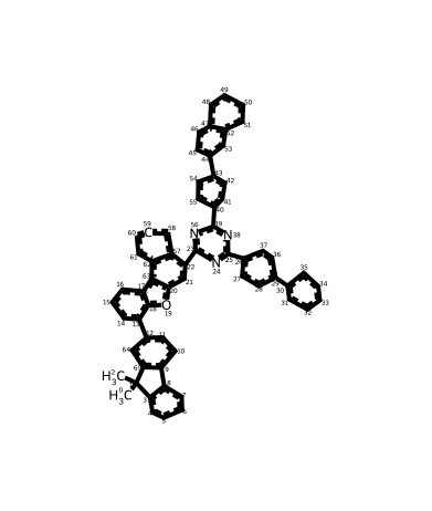 CC1(C)c2ccccc2-c2ccc(-c3cccc4c3oc3cc(-c5nc(-c6ccc(-c7ccccc7)cc6)nc(-c6ccc(-c7ccc8ccccc8c7)cc6)n5)c5ccccc5c34)cc21